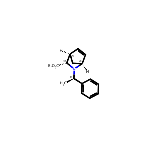 CCOC(=O)[C@@H]1[C@H]2C=C[C@H](C2)N1[C@H](C)c1ccccc1